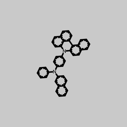 c1ccc(N(c2ccc(N3c4ccc5ccccc5c4-c4cccc5cccc3c45)cc2)c2ccc3ccccc3c2)cc1